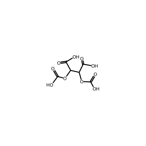 O=C(O)OC(C(=O)O)C(OC(=O)O)C(=O)O